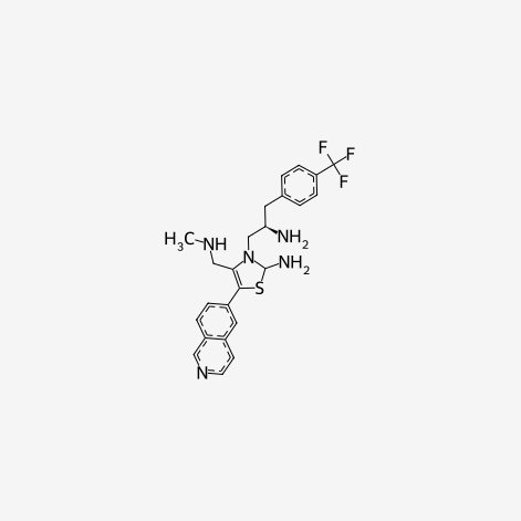 CNCC1=C(c2ccc3cnccc3c2)SC(N)N1C[C@H](N)Cc1ccc(C(F)(F)F)cc1